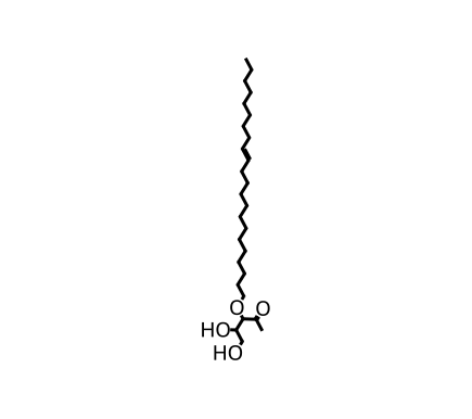 CCCCCCCCC=CCCCCCCCCCCCCOC(C(C)=O)C(O)CO